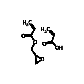 C=CC(=O)O.C=CC(=O)OCC1CO1